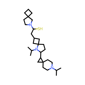 CC(C)N1CCC2(CC1)CC2C1CCC2(CC(CC(S)N3CCC4(CCC4)C3)C2)N1C(C)C